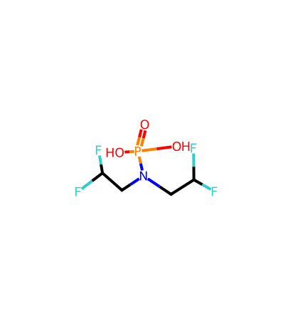 O=P(O)(O)N(CC(F)F)CC(F)F